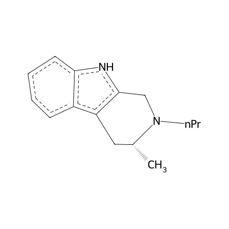 CCCN1Cc2[nH]c3ccccc3c2C[C@H]1C